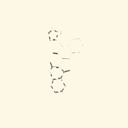 O=C(Nc1ccn[nH]1)C(CC1CCCCC1)n1c(=O)[nH]c2ccc(F)cc2c1=O